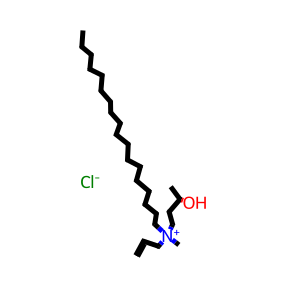 C=CC[N+](C)(CCCCCCCCCCCCCCCCCC)CCC(C)O.[Cl-]